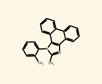 Cc1ccccc1-n1c(C)nc2c3ccccc3c3ccccc3c21